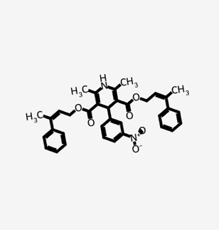 CC(=CCOC(=O)C1=C(C)NC(C)=C(C(=O)OCC=C(C)c2ccccc2)C1c1cccc([N+](=O)[O-])c1)c1ccccc1